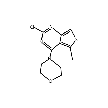 Cc1scc2nc(Cl)nc(N3CCOCC3)c12